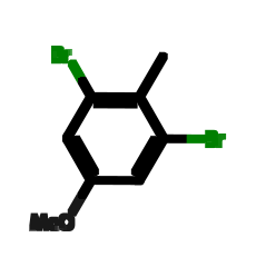 COc1cc(Br)c(C)c(Br)c1